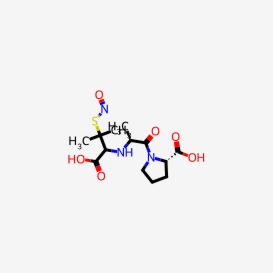 C[C@H](NC(C(=O)O)C(C)(C)SN=O)C(=O)N1CCC[C@H]1C(=O)O